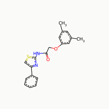 Cc1cc(C)cc(OCC(=O)Nc2nc(-c3ccccc3)cs2)c1